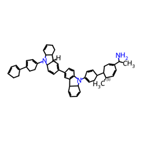 CC(N)C1=CCC(C2C=CC(N3c4ccc(C5=C[C@H]6C7CCC=CC7N(C7=CC=C(C8=CC=CCC8)CC7)C6C=C5)cc4C4C=CC=CC43)=CC2)[C@H](C)C=C1